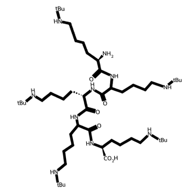 CC(C)(C)NCCCCC(NC(=O)[C@H](N)CCCCNC(C)(C)C)C(=O)N[C@@H](CCCCNC(C)(C)C)C(=O)NC(CCCCNC(C)(C)C)C(=O)N[C@@H](CCCCNC(C)(C)C)C(=O)O